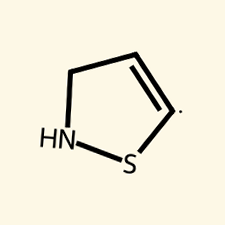 [C]1=CCNS1